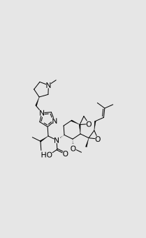 CO[C@@H]1[C@H](N(C(=O)O)[C@H](c2cn(C[C@H]3CCN(C)C3)cn2)C(C)C)CC[C@]2(CO2)[C@H]1[C@@]1(C)O[C@@H]1CC=C(C)C